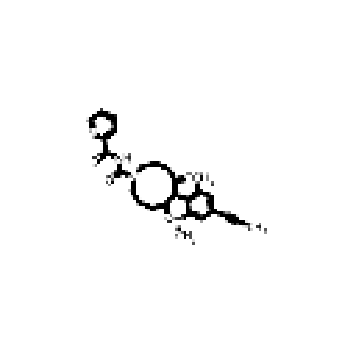 CC#Cc1cc(C)c(C2C(=O)CCCN(C(=O)NC(=O)c3ccccn3)CCCC2=O)c(OC)c1